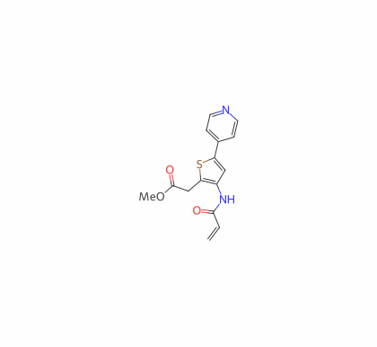 C=CC(=O)Nc1cc(-c2ccncc2)sc1CC(=O)OC